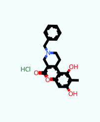 Cc1c(O)cc2oc(=O)c3c(c2c1O)CCN(Cc1ccccc1)C3.Cl